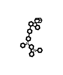 c1ccc(N(c2ccc(-c3ccc(-c4cccc5c4-c4ccccc4C54C5CC6CC(C5)CC4C6)cc3)cc2)c2ccc3c(c2)c2ccccc2n3-c2ccccc2)cc1